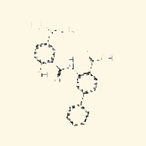 CN(C)c1ccc(O)c(C(=O)Nc2cc(-c3ccccc3)ccc2C(=O)O)c1